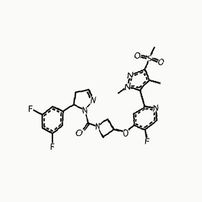 Cc1c(S(C)(=O)=O)nn(C)c1-c1cc(OC2CN(C(=O)N3N=CCC3c3cc(F)cc(F)c3)C2)c(F)cn1